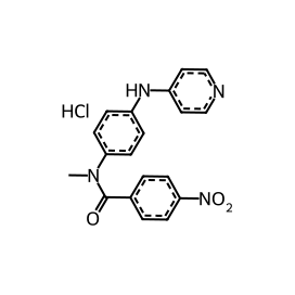 CN(C(=O)c1ccc([N+](=O)[O-])cc1)c1ccc(Nc2ccncc2)cc1.Cl